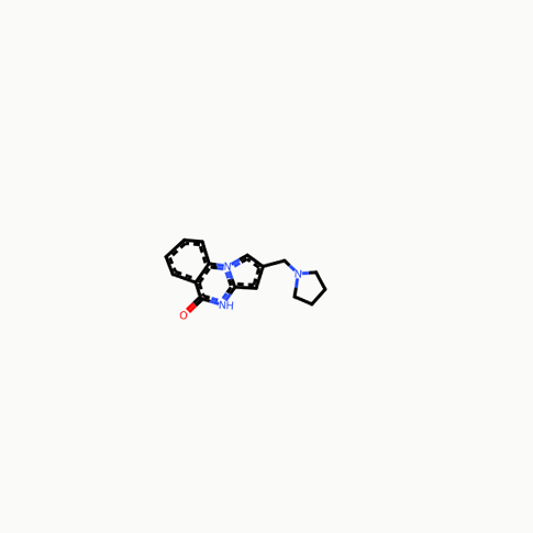 O=c1[nH]c2cc(CN3CCCC3)cn2c2ccccc12